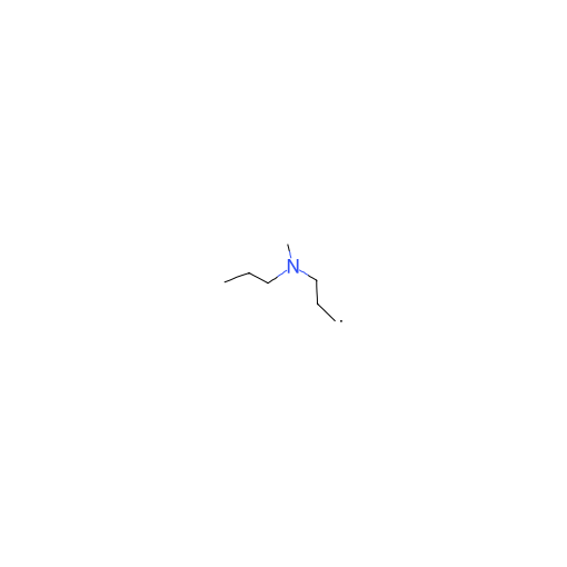 [CH2]CCN(C)CCC